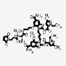 CCn1nc(C)cc1C(=O)Nc1nc2cc(C(N)=O)cc(OC)c2n1C/C=C/Cn1c(NC(=O)c2cc(C)nn2CC)nc2cc(C(N)=O)cc(OCCCN(C)C(=O)[C@H](CO)NC(=O)CCN3C(=O)C=CC3=O)c21